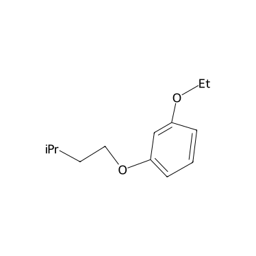 CCOc1cccc(OCCC(C)C)c1